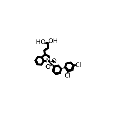 O=S(=O)(C1=CC=C[C@H](C2=C(Cl)C=C(Cl)CC2)C1)N1CC(CCC(O)O)C2CC=CCC21